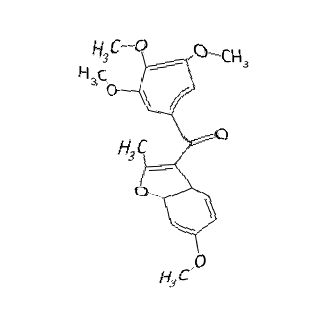 COC1=CC2OC(C)=C(C(=O)c3cc(OC)c(OC)c(OC)c3)C2C=C1